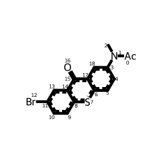 CC(=O)N(C)c1ccc2sc3ccc(Br)cc3c(=O)c2c1